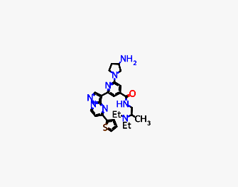 CCN(CC)C(C)CNC(=O)c1cc(-c2cnn3ccc(-c4cccs4)nc23)nc(N2CC[C@@H](N)C2)c1